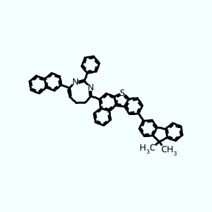 CC1(C)c2ccccc2-c2cc(-c3ccc4sc5cc(/C6=N/C(c7ccccc7)=N\C(c7ccc8ccccc8c7)=C/CC6)c6ccccc6c5c4c3)ccc21